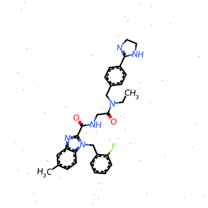 CCN(Cc1ccc(C2=NCCN2)cc1)C(=O)CNC(=O)c1nc2cc(C)ccc2n1Cc1ccccc1F